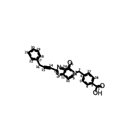 O=C(O)c1ccc(Cn2ccc3sc(C#CCc4ccccc4)nc3c2=O)cc1